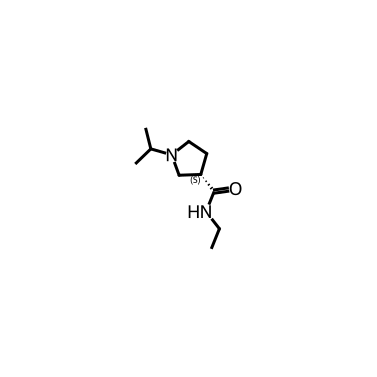 CCNC(=O)[C@H]1CCN(C(C)C)C1